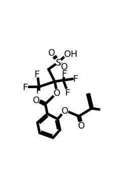 C=C(C)C(=O)Oc1ccccc1C(=O)OC(CS(=O)(=O)O)(C(F)(F)F)C(F)(F)F